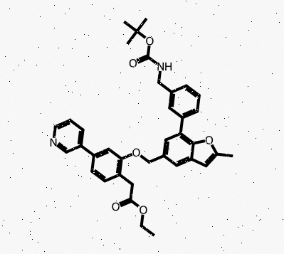 CCOC(=O)Cc1ccc(-c2cccnc2)cc1OCc1cc(-c2cccc(CNC(=O)OC(C)(C)C)c2)c2oc(C)cc2c1